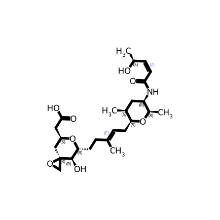 C/C(=C\C[C@@H]1O[C@H](C)[C@H](NC(=O)/C=C\[C@H](C)O)C[C@@H]1C)CC[C@H]1O[C@H](CC(=O)O)C[C@@]2(CO2)[C@@H]1O